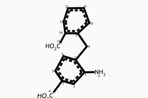 Nc1cc(C(=O)O)ccc1Cc1ccccc1C(=O)O